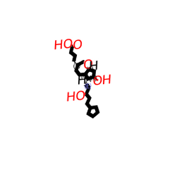 O=C(O)CCC[C@H]1CC[C@@H]2[C@@H](/C=C/C(O)CCC3CCCC3)[C@H](O)C[C@@H]2OC1